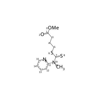 COC(=O)CCCSC(=S)N(C)c1ccccn1